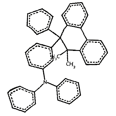 CC1(C)c2ccccc2-c2ccccc2C1(c1ccccc1)c1cccc(N(c2ccccc2)c2ccccc2)c1